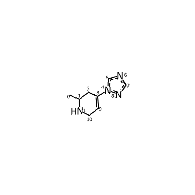 CC1CC(n2[c]ncn2)=CCN1